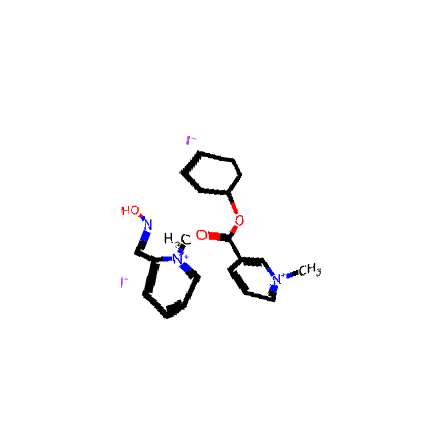 C[n+]1cccc(C(=O)OC2CCCCC2)c1.C[n+]1ccccc1C=NO.[I-].[I-]